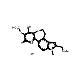 CNCc1cc2c3c(ccc2n1C)-c1[nH]c(=O)c(OC(=O)O)c(O)c1CCC3.Cl